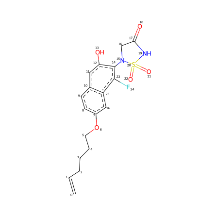 C=CCCCCOc1ccc2cc(O)c(N3CC(=O)NS3(=O)=O)c(F)c2c1